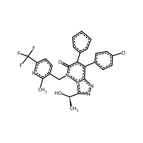 Cc1nc(C(F)(F)F)ccc1Cn1c(=O)c(-c2ccccc2)c(-c2ccc(Cl)cc2)c2nnc([C@@H](C)O)n21